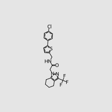 O=C(Cn1nc(C(F)(F)F)c2c1CCCC2)NCc1ccc(-c2ccc(Cl)cc2)s1